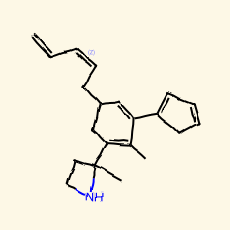 C=C/C=C\CC1C=C(C2=CC=CC2)C(C)=C(C2(C)CCN2)C1